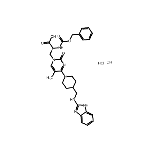 Cc1cn(C[C@H](NC(=O)OCc2ccccc2)C(=O)O)c(=O)nc1N1CCC(CNc2nc3ccccc3[nH]2)CC1.Cl.Cl